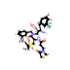 CCCC(CCC)S(=O)(=O)C[C@H](NC(=O)CCN1C(=O)CSC1=S)C(=O)N(Cc1cccc(CC)c1)C[C@@H](O)[C@@H](N)Cc1cc(F)cc(F)c1